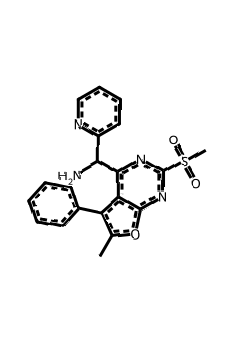 Cc1oc2nc(S(C)(=O)=O)nc(C(N)c3ccccn3)c2c1-c1ccccc1